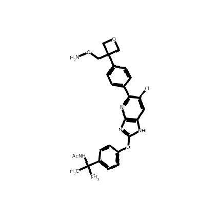 CC(=O)NC(C)(C)c1ccc(Oc2nc3nc(-c4ccc(C5(CON)COC5)cc4)c(Cl)cc3[nH]2)cc1